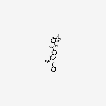 N=C(N)N(CCc1ccccc1)Cc1ccc(C(=O)Nc2ccnc3[nH]ncc23)cc1